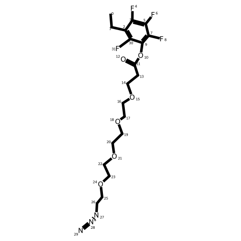 CCc1c(F)c(F)c(F)c(OC(=O)CCOCCOCCOCCOCCN=[N+]=[N-])c1F